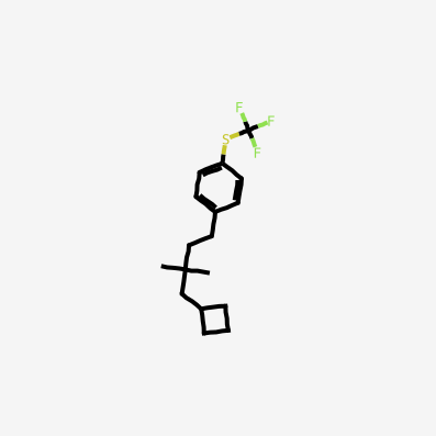 CC(C)(CCc1ccc(SC(F)(F)F)cc1)CC1CCC1